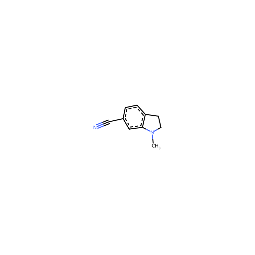 CN1CCc2ccc(C#N)cc21